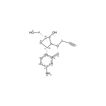 C#CCOC1C(O)[C@@H](CO)O[C@H]1n1ccc(N)nc1=O